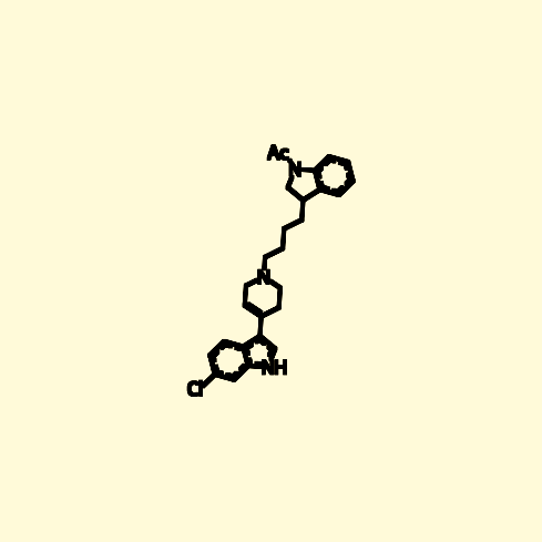 CC(=O)N1CC(CCCCN2CC=C(c3c[nH]c4cc(Cl)ccc34)CC2)c2ccccc21